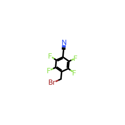 N#Cc1c(F)c(F)c(CBr)c(F)c1F